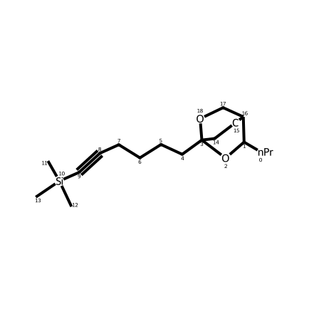 CCCC1OC2(CCCCC#C[Si](C)(C)C)CCC1CO2